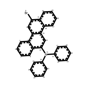 Brc1cc2c3ccccc3c(N(c3ccccc3)c3ccccc3)cc2c2ccccc12